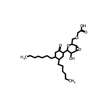 CCCCCCCC1CC(=O)C(C2OC(COCC(=O)O)C3OC3C2O)CC1CCCCCC